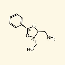 NCC1O[C@H](c2ccccc2)O[C@H]1CO